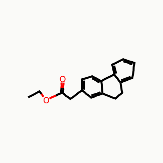 CCOC(=O)Cc1ccc2c(c1)CCc1ccccc1-2